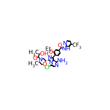 CCOc1cc(C(=O)Nc2cc(C(F)(F)F)ccn2)ccc1-c1nc([C@H]2CN(C(=O)[C@@H](C)O)[C@@H](C)CO2)n2c(Cl)cnc(N)c12